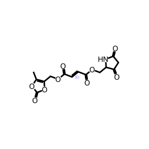 Cc1oc(=O)oc1COC(=O)/C=C/C(=O)OCC1NC(=O)CC1=O